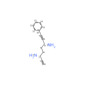 C#C[C@H](N)CC[C@@H](N)C#Cc1ccccc1